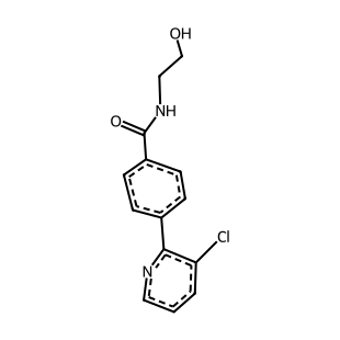 O=C(NCCO)c1ccc(-c2ncccc2Cl)cc1